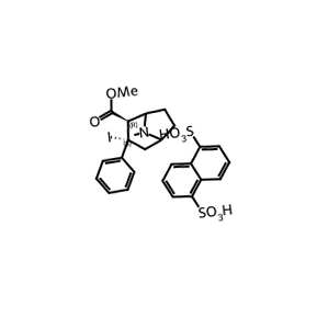 COC(=O)[C@H]1C2CCC(C[C@@]1(I)c1ccccc1)N2C.O=S(=O)(O)c1cccc2c(S(=O)(=O)O)cccc12